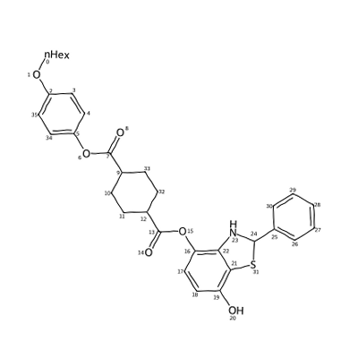 CCCCCCOc1ccc(OC(=O)C2CCC(C(=O)Oc3ccc(O)c4c3NC(c3ccccc3)S4)CC2)cc1